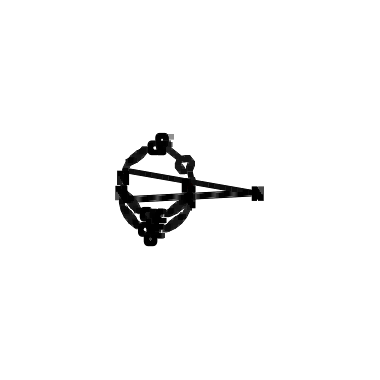 [O-][S+]1Cc2ccc(cc2)-c2nc3nc(n2)-c2ccc(cc2)C[S+]([O-])Cc2ccc(cc2)-c2nc(nc(n2)-c2ccc(cc2)C[S+]([O-])Cc2ccc-3cc2)-c2ccc(cc2)C1